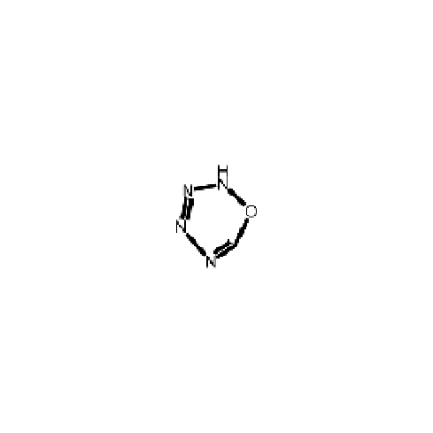 C1=NN=NNO1